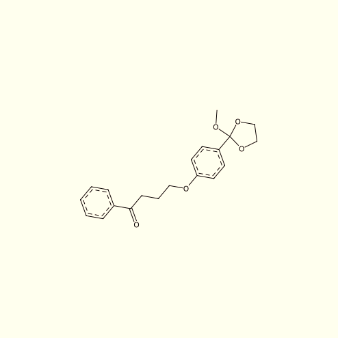 COC1(c2ccc(OCCCC(=O)c3ccccc3)cc2)OCCO1